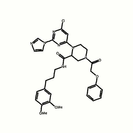 COc1ccc(CCCNC(=O)C2CN(C(=O)COc3ccccc3)CCN2c2cc(Cl)nc(-n3ccnc3)n2)cc1OC